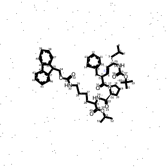 CC(C)C[C@@H](/C=C/[C@H](Cc1ccccc1)C(=O)N1CCC[C@H]1C(=O)NC(CCCCNC(=O)OCC1c2ccccc2-c2ccccc21)C(=O)OC(C)C)NC(=O)OC(C)(C)C